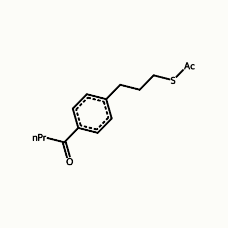 CCCC(=O)c1ccc(CCCSC(C)=O)cc1